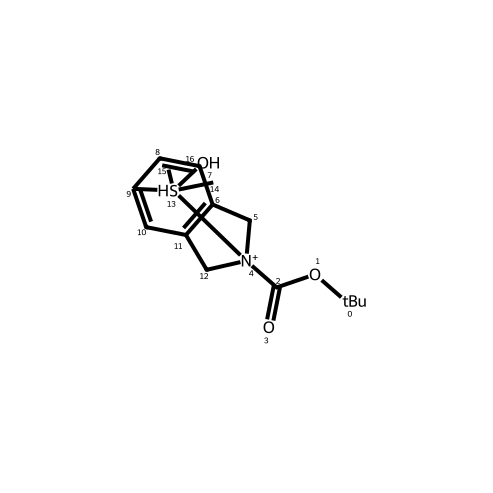 CC(C)(C)OC(=O)[N+]12Cc3ccc(cc3C1)[SH]2(C)(C)O